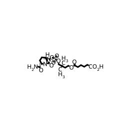 CC(C)(CCOC(=O)CCCCC(=O)O)COS(=O)(=O)ON1C(=O)N2C[C@H]1CC[C@H]2C(N)=O